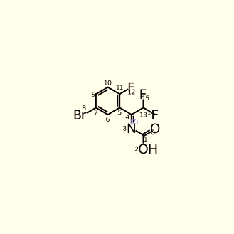 O=C(O)/N=C(/c1cc(Br)ccc1F)C(F)F